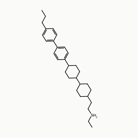 CCCc1ccc(-c2ccc(C3CCC(C4CCC(CC[SiH2]CC)CC4)CC3)cc2)cc1